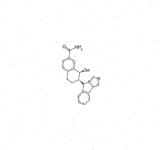 NC(=O)c1ccc2c(c1)[C@@H](O)[C@@H](C1c3ccccc3-c3cncn31)CC2